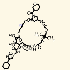 Cc1cc2cc(C)c1OCCOC1C[C@H](OC/C=C/CCC3(C(=O)O)C[C@H](O)C(NC(=O)Cn4cc(C5CCCCC5)nn4)C(O3)[C@H](O)C(O)CNC2=O)N(C(=O)C2CCCOC2)C1